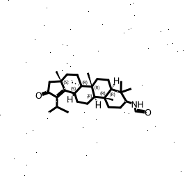 CC(C)C1=C2[C@H]3CC[C@@H]4[C@@]5(C)CCC(NC=O)C(C)(C)[C@@H]5CC[C@@]4(C)[C@]3(C)CC[C@@]2(C)CC1=O